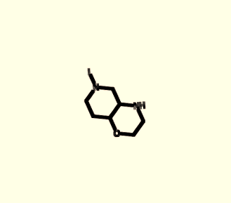 IN1CCC2OCCNC2C1